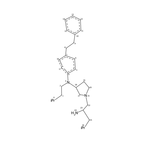 CC(C)CCN(c1ccc(CCc2ccccc2)cc1)C1CCN(CC(N)CC(C)C)C1